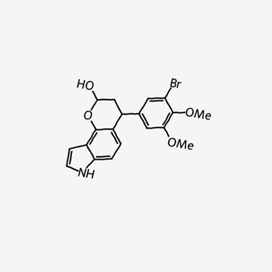 COc1cc(C2CC(O)Oc3c2ccc2[nH]ccc32)cc(Br)c1OC